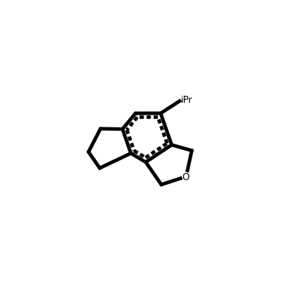 CC(C)c1cc2c(c3c1COC3)CCC2